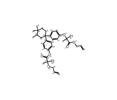 C=CCOC(=O)C(C)(CC)Oc1ccc(C2(c3ccc(OC(=O)C(C)(CC)OCC=C)cc3)CCC(C)(C)C(C)C2)cc1